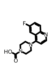 O=C(O)N1CCN(c2ccnc3ccc(F)cc23)CC1